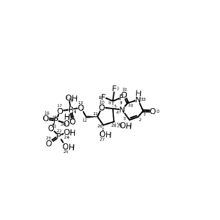 O=c1ccn([C@]2(C(F)(F)F)O[C@H](COP(=O)(O)OP(=O)(O)OP(=O)(O)O)[C@@H](O)[C@H]2O)c(=O)[nH]1